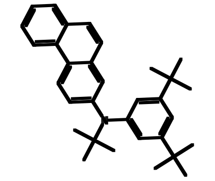 CC(C)(C)c1cc(N(c2ccc3c(ccc4ccccc43)c2)C(C)(C)C)cc(C(C)(C)C)c1